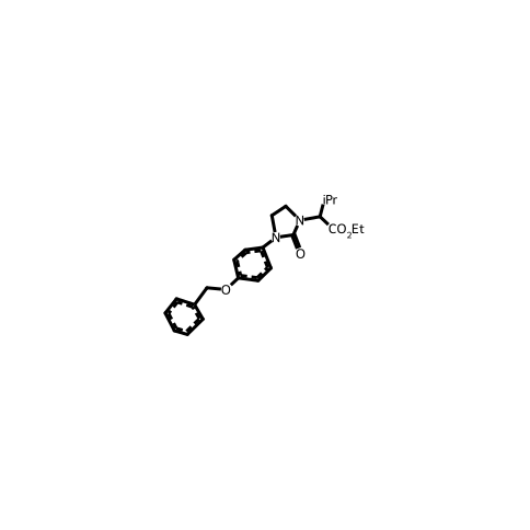 CCOC(=O)C(C(C)C)N1CCN(c2ccc(OCc3ccccc3)cc2)C1=O